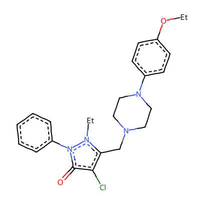 CCOc1ccc(N2CCN(Cc3c(Cl)c(=O)n(-c4ccccc4)n3CC)CC2)cc1